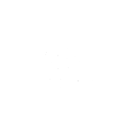 O=C[C@H](O)[C@@H](OP(=O)(O)O)[C@@H](COP(=O)(O)O)OP(=O)(O)O